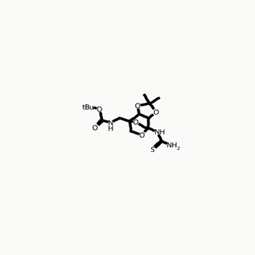 CC(C)(C)OC(=O)NCC12COC(NC(N)=S)(CO1)C1OC(C)(C)OC12